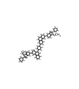 CCn1c(-c2ccccc2)nc2cc(-c3ccc4ccc5cc(-c6ccc(-c7cc8ccccc8c8cc(-c9ccc%10c(c9)nc(-c9ccccc9)n%10CC)ccc78)cc6)ccc5c4c3)ccc21